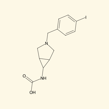 O=C(O)NC1C2CN(Cc3ccc(I)cc3)CC21